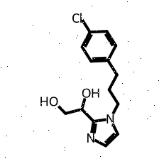 OCC(O)c1nccn1CCCc1ccc(Cl)cc1